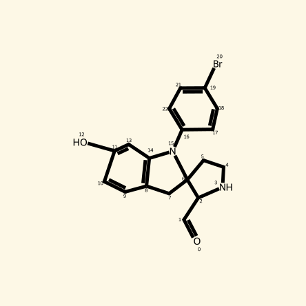 O=CC1NCCC12Cc1ccc(O)cc1N2c1ccc(Br)cc1